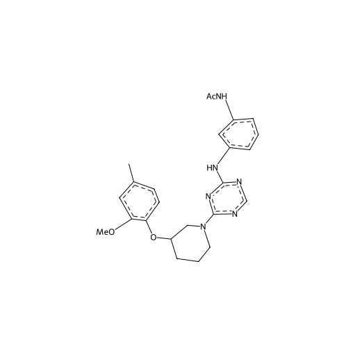 COc1cc(C)ccc1OC1CCCN(c2ncnc(Nc3cccc(NC(C)=O)c3)n2)C1